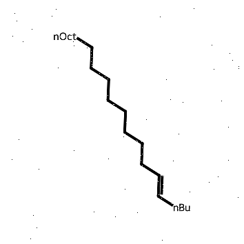 [CH2]CCCC=CCCCCCCCCCCCCCCC[CH2]